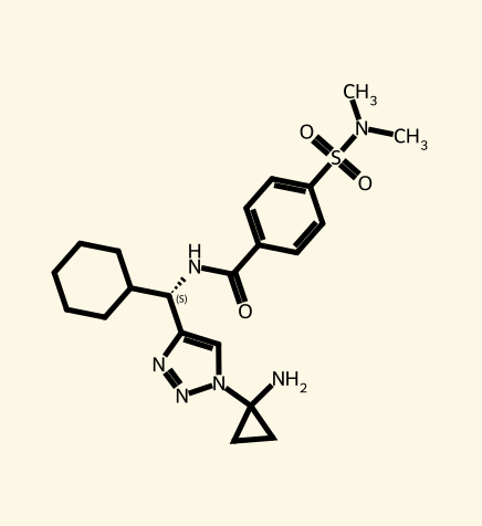 CN(C)S(=O)(=O)c1ccc(C(=O)N[C@H](c2cn(C3(N)CC3)nn2)C2CCCCC2)cc1